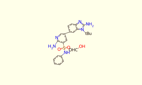 CC(C)(C)n1c(N)nc2ccc(-c3cnc(N)c(S(=O)(=O)Nc4ccccc4)c3)cc21.O=CO